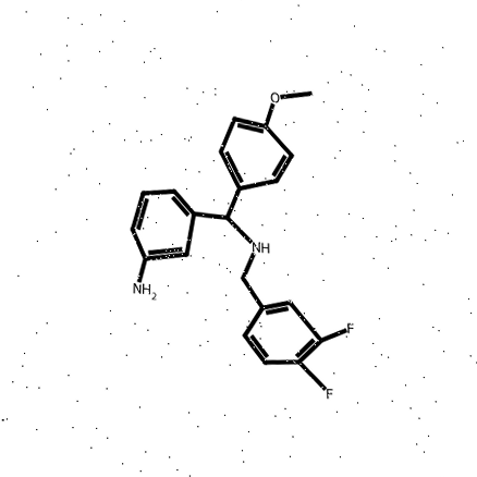 COc1ccc(C(NCc2ccc(F)c(F)c2)c2cccc(N)c2)cc1